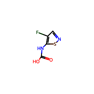 O=C(O)Nc1sncc1F